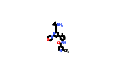 Cc1ccc(NC(=O)c2ccnc(C(F)(F)F)c2)cc1-c1cc(C#CC2(N)CC2)nc(N2CCOCC2)c1